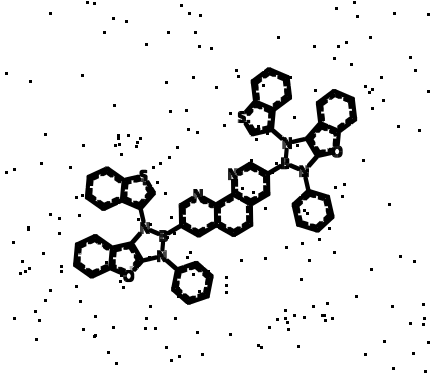 c1ccc(N2B(c3cnc4c(ccc5cc(B6N(c7ccccc7)c7oc8ccccc8c7N6c6csc7ccccc67)cnc54)c3)N(c3csc4ccccc34)c3c2oc2ccccc32)cc1